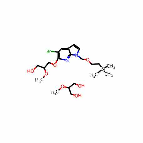 COC(CO)CO.COC(CO)COc1nc2c(ccn2COCC[Si](C)(C)C)cc1Br